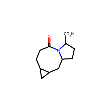 O=C(O)C1CCC2CC3CC3CCC(=O)N21